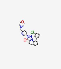 O=C(Nc1ccc(CN2CCOCC2)nc1)c1ccc2cccc(-c3cccc(Cl)c3)c2n1